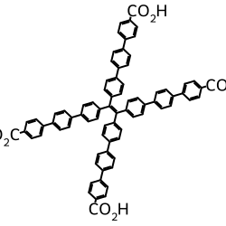 O=C(O)c1ccc(-c2ccc(-c3ccc(C(=C(c4ccc(-c5ccc(-c6ccc(C(=O)O)cc6)cc5)cc4)c4ccc(-c5ccc(-c6ccc(C(=O)O)cc6)cc5)cc4)c4ccc(-c5ccc(-c6ccc(C(=O)O)cc6)cc5)cc4)cc3)cc2)cc1